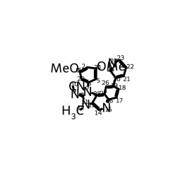 COc1cc(OC)cc(-n2c(=NC#N)n(C)c3cnc4ccc(-c5cccnc5)cc4c32)c1